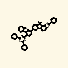 CC1(C)c2ccc(-c3ccc(-c4nc(-c5ccccc5)nc(-c5ccccc5)n4)c4c3oc3ccccc34)cc2-c2ccc3sc(-c4ccccc4)nc3c21